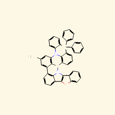 Cc1cc2c3c(c1)N1c4ccccc4[Si](c4ccccc4)(c4ccccc4)c4cccc(c41)B3n1c3c-2cccc3c2oc3ccccc3c21